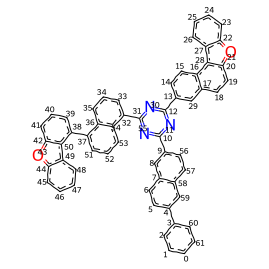 c1ccc(-c2ccc3cc(-c4nc(-c5ccc6c(ccc7oc8ccccc8c76)c5)nc(-c5cccc6c(-c7cccc8oc9ccccc9c78)cccc56)n4)ccc3c2)cc1